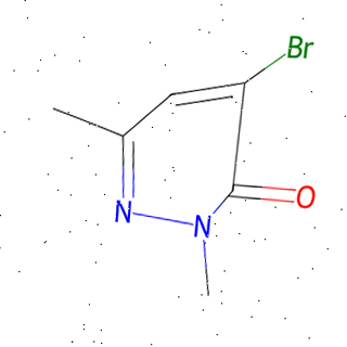 Cc1cc(Br)c(=O)n(C)n1